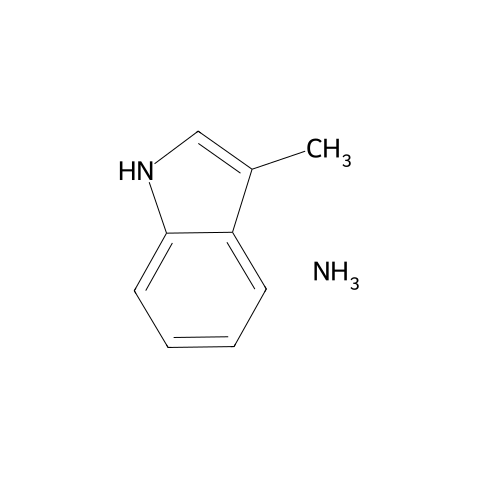 Cc1c[nH]c2ccccc12.N